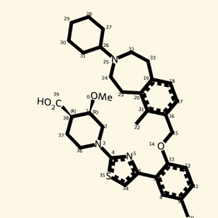 CO[C@H]1CN(c2nc(-c3cc(C)ccc3OCc3ccc4c(c3C)CCN(C3CCCCC3)CC4)cs2)CC[C@H]1C(=O)O